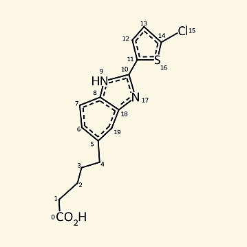 O=C(O)CCCCc1ccc2[nH]c(-c3ccc(Cl)s3)nc2c1